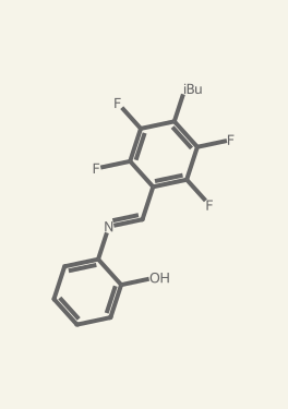 CCC(C)c1c(F)c(F)c(C=Nc2ccccc2O)c(F)c1F